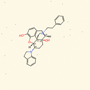 Oc1ccc2c3c1O[C@H]1[C@H](N4CCc5ccccc54)CC[C@@]4(O)[C@@H](C2)N(CCc2ccccc2)CC[C@]314